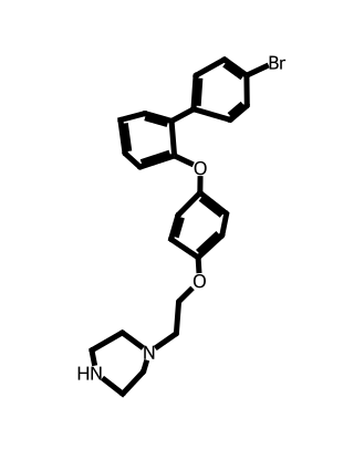 Brc1ccc(-c2ccccc2Oc2ccc(OCCN3CCNCC3)cc2)cc1